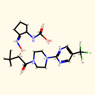 CC(C)(C)[C@H](ON=C1CCCC1NC(=O)O)C(=O)N1CCN(c2ncc(C(F)(F)F)cn2)CC1